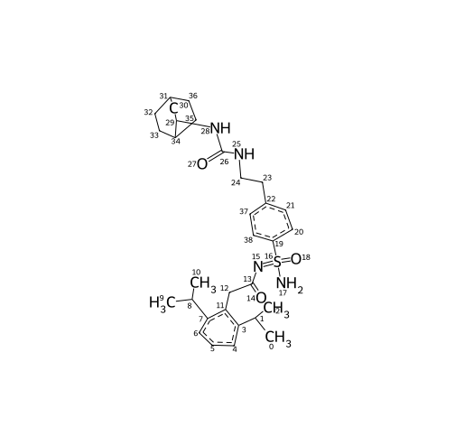 CC(C)c1cccc(C(C)C)c1CC(=O)N=S(N)(=O)c1ccc(CCNC(=O)NC2CC3CCC2CC3)cc1